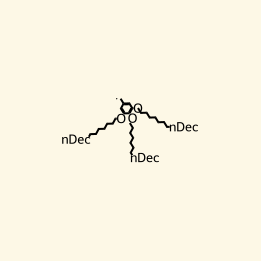 [CH2]c1cc(OCCCCCCCCCCCCCCCCC)c(OCCCCCCCCCCCCCCCCC)c(OCCCCCCCCCCCCCCCCC)c1